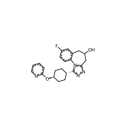 OC1Cc2cc(F)ccc2-n2c(nnc2[C@H]2CC[C@H](Oc3ccccn3)CC2)C1